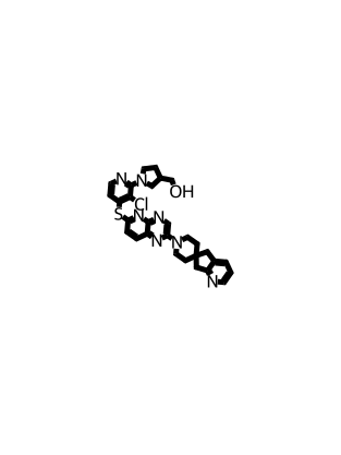 OCC1CCN(c2nccc(Sc3ccc4nc(N5CCC6(CC5)Cc5cccnc5C6)cnc4n3)c2Cl)C1